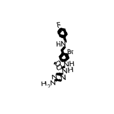 COc1cc(CCNCc2ccc(F)cc2)c(Br)cc1NC(=O)Nc1cnc(N)cn1